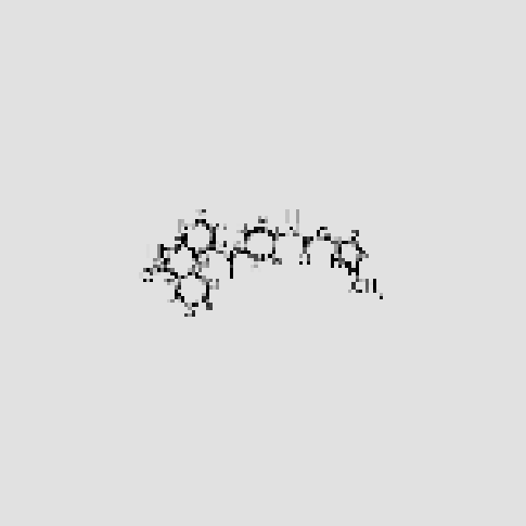 Cn1ccc(OC(=O)Nc2ccc(Nc3ccnc4[nH]c(=O)c5ccccc5c34)cc2)n1